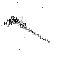 CCCCCCCCCCCCCCCCCCCCCC(=O)OCCC(CO)CN1CNc2c1nc(N)[nH]c2=O